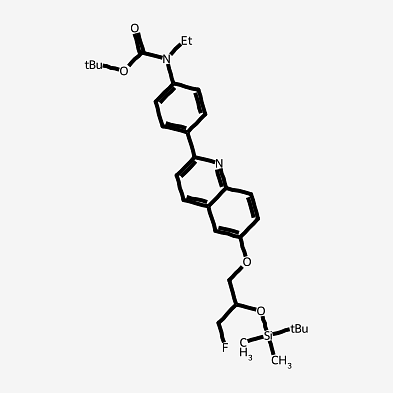 CCN(C(=O)OC(C)(C)C)c1ccc(-c2ccc3cc(OCC(CF)O[Si](C)(C)C(C)(C)C)ccc3n2)cc1